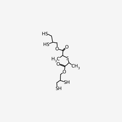 CC(SC(C)C(=O)OCC(S)CS)C(=O)OCC(S)CS